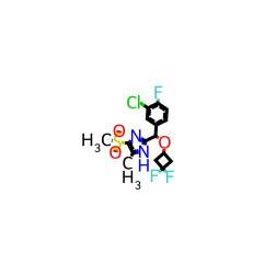 Cc1[nH]c(C(OC2CC(F)(F)C2)c2ccc(F)c(Cl)c2)nc1S(C)(=O)=O